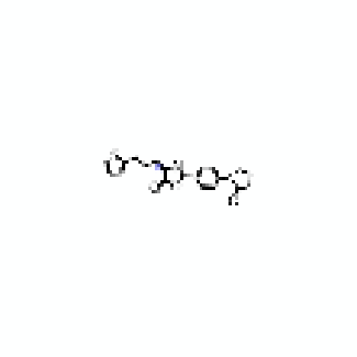 O=C1OC(c2ccc(N3CCCC3=O)cc2)=N/C1=C/CCc1cccs1